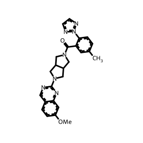 COc1ccc2cnc(N3CC4CN(C(=O)c5cc(C)ccc5-n5nccn5)CC4C3)nc2c1